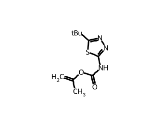 C=C(C)OC(=O)Nc1nnc(C(C)(C)C)s1